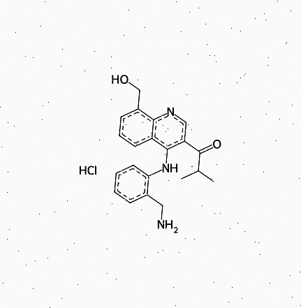 CC(C)C(=O)c1cnc2c(CO)cccc2c1Nc1ccccc1CN.Cl